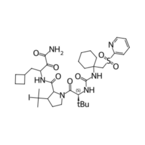 CC(C)(I)C1CCN(C(=O)[C@@H](NC(=O)NC2(CS(=O)(=O)c3ccccn3)CCCCC2)C(C)(C)C)C1C(=O)NC(CC1CCC1)C(=O)C(N)=O